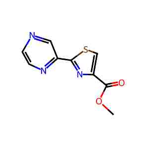 COC(=O)c1csc(-c2cnccn2)n1